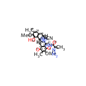 COC1=C(C)C(=O)C2=C(C1=O)[C@H](CNC(=O)[C@H](C)N)N1C(C2)[C@@H]2N[C@H](Cc3cc(C)c(OC)c(O)c32)[C@@H]1C#N